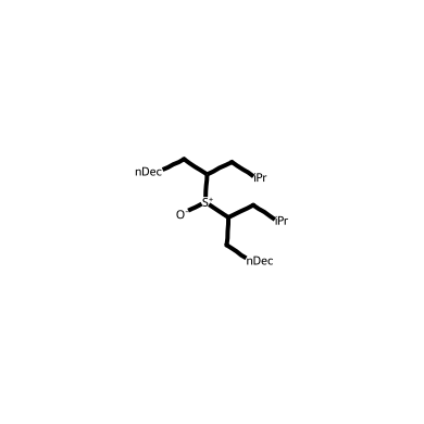 CCCCCCCCCCCC(CC(C)C)[S+]([O-])C(CCCCCCCCCCC)CC(C)C